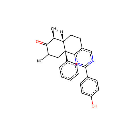 C[C@@H]1C(=O)C(C#N)C[C@@]2(c3ccccc3)c3nc(-c4ccc(O)cc4)ncc3CC[C@@H]12